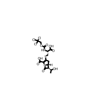 CC(O)[C@H]1C(=O)N2C(C(=O)O)=C(SC[C@H](NC(=O)OCC(Cl)(Cl)Cl)C(=O)O)C[C@H]12